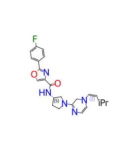 CC(C)/C=C\N1C=CN=C(N2CC[C@H](NC(=O)c3coc(-c4ccc(F)cc4)n3)C2)C1